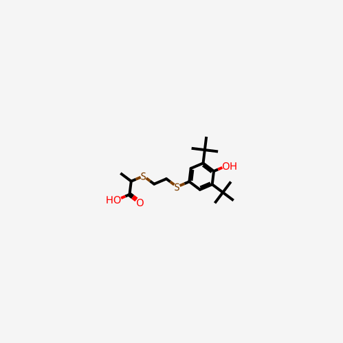 CC(SCCSc1cc(C(C)(C)C)c(O)c(C(C)(C)C)c1)C(=O)O